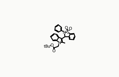 Cc1c(C2c3ccccc3S(=O)(=O)N2c2ccccc2)c2ccccc2n1CC(=O)OC(C)(C)C